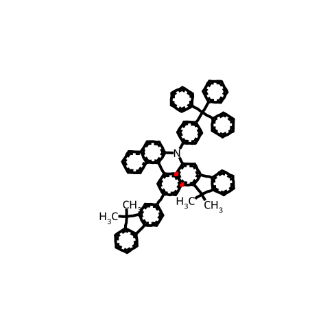 CC1(C)c2ccccc2-c2cc(N(c3ccc(C(c4ccccc4)(c4ccccc4)c4ccccc4)cc3)c3ccc4ccccc4c3-c3cccc(-c4ccc5c(c4)C(C)(C)c4ccccc4-5)c3)ccc21